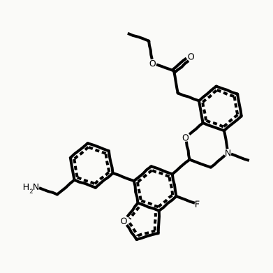 CCOC(=O)Cc1cccc2c1OC(c1cc(-c3cccc(CN)c3)c3occc3c1F)CN2C